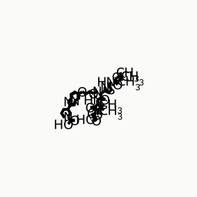 CC(C)(C)OC(=O)Nc1nc(C(=NOCCOc2ccc3nc(C4CCCN(C(=O)O)C4)cn3c2)C(=O)NC2C(=O)N(OS(=O)(=O)O)C2(C)C)cs1